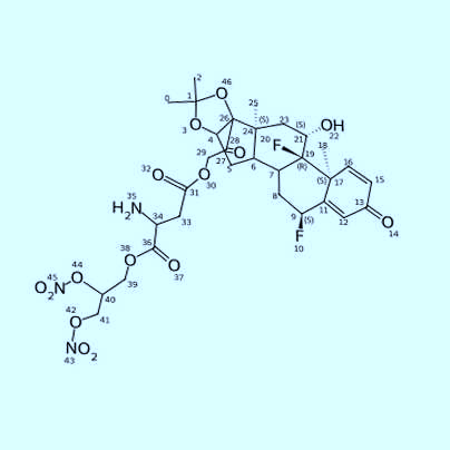 CC1(C)OC2CC3C4C[C@H](F)C5=CC(=O)C=C[C@]5(C)[C@@]4(F)[C@@H](O)C[C@]3(C)C2(C(=O)COC(=O)CC(N)C(=O)OCC(CO[N+](=O)[O-])O[N+](=O)[O-])O1